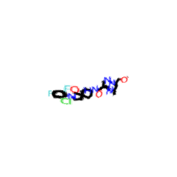 COCc1cc(C)nc2c(C(=O)NC3CCC4(CC3)CCN(c3c(F)cc(F)cc3Cl)C4=O)cnn12